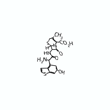 CC1=C(C(=O)O)N2C(=O)[C@@H](NC(=O)C(N)c3cc(O)cc4sccc34)[C@@H]2SC1